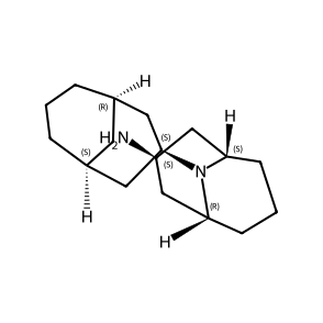 N[C@@H]1C[C@H]2CCC[C@@H](C1)N2[C@@H]1C[C@@H]2CCC[C@@H](C2)C1